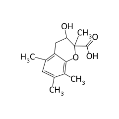 Cc1cc(C)c2c(c1C)OC(C)(C(=O)O)C(O)C2